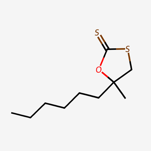 CCCCCCC1(C)CSC(=S)O1